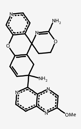 COc1cnc2c(C3(N)C=CC4=C(C3)C3(CCOC(N)=N3)c3ccncc3O4)nccc2n1